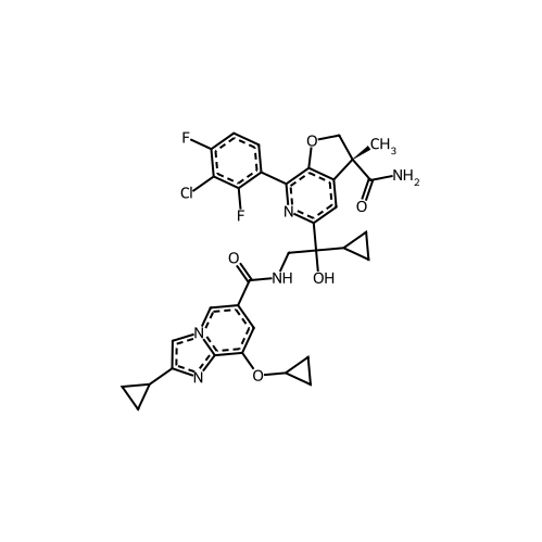 C[C@]1(C(N)=O)COc2c1cc(C(O)(CNC(=O)c1cc(OC3CC3)c3nc(C4CC4)cn3c1)C1CC1)nc2-c1ccc(F)c(Cl)c1F